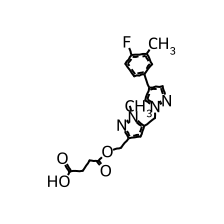 Cc1cc(-c2cnn(Cc3cc(COC(=O)CCC(=O)O)nn3C)c2)ccc1F